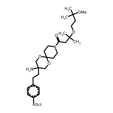 CCCCCCCCc1ccc(CCC2(N)COC3(CCN(C(=O)CC(C)(C)OCCC(C)(C)OC)CC3)OC2)cc1